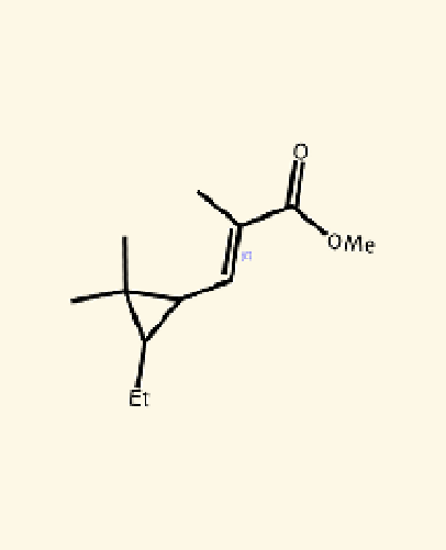 CCC1C(/C=C(\C)C(=O)OC)C1(C)C